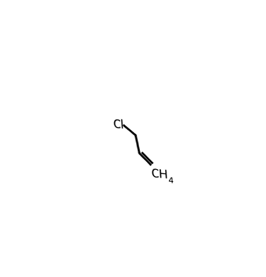 C.C=CCCl